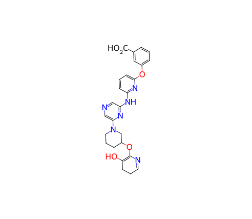 O=C(O)c1cccc(Oc2cccc(Nc3cncc(N4CCCC(OC5=C(O)CCC=N5)C4)n3)n2)c1